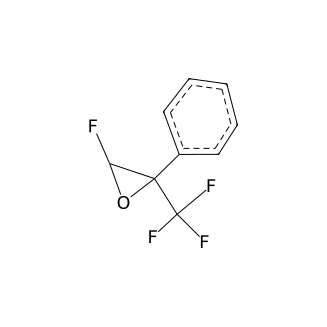 FC1OC1(c1ccccc1)C(F)(F)F